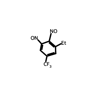 CCc1cc(C(F)(F)F)cc(N=O)c1N=O